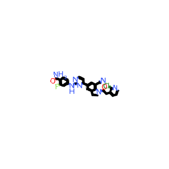 N#Cc1cc(-c2ccnc(Nc3ccc(C(N)=O)c(F)c3)n2)cc2c1N(C(=O)Cc1cccnc1Cl)CC2